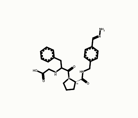 NN=Cc1ccc(CNC(=O)[C@@H]2CCCN2C(=O)C(Cc2ccccc2)NCC(=O)O)cc1